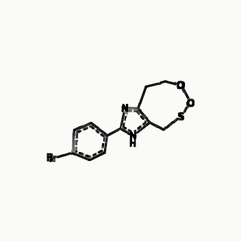 Brc1ccc(-c2nc3c([nH]2)CSOOCC3)cc1